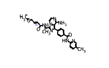 COC/C=C/C(=O)N[C@@H](C)c1nc(-c2ccc(C(=O)Nc3ccc(C)cn3)cc2)c2c(N)nccn12